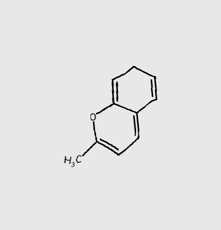 CC1=CC=C2C=CCC=C2O1